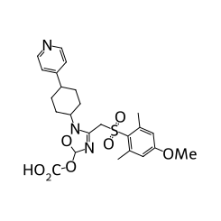 COc1cc(C)c(S(=O)(=O)CC2=NC(OC(=O)O)ON2C2CCC(c3ccncc3)CC2)c(C)c1